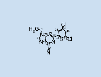 CCn1cnc2c(C#N)nc(-c3cc(Cl)cc(Cl)c3)cc21